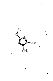 CCOc1cc(C)n(C(C)C)n1